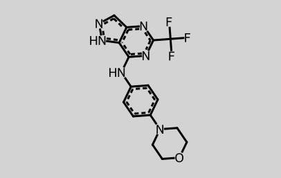 FC(F)(F)c1nc(Nc2ccc(N3CCOCC3)cc2)c2[nH]ncc2n1